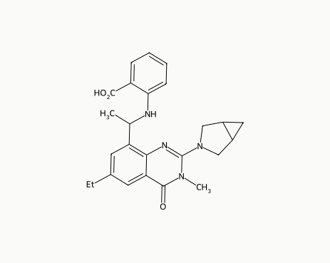 CCc1cc(C(C)Nc2ccccc2C(=O)O)c2nc(N3CC4CC4C3)n(C)c(=O)c2c1